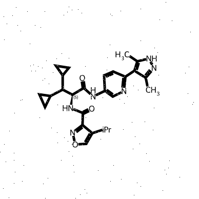 Cc1n[nH]c(C)c1-c1ccc(NC(=O)[C@@H](NC(=O)c2nocc2C(C)C)C(C2CC2)C2CC2)cn1